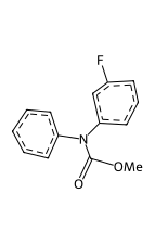 COC(=O)N(c1ccccc1)c1cccc(F)c1